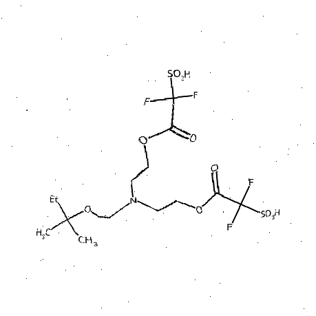 CCC(C)(C)OCN(CCOC(=O)C(F)(F)S(=O)(=O)O)CCOC(=O)C(F)(F)S(=O)(=O)O